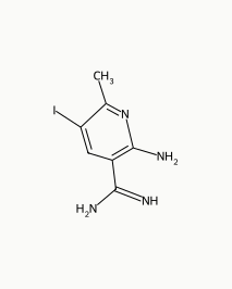 Cc1nc(N)c(C(=N)N)cc1I